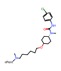 CCCCCN(C)CCCCCCO[C@H]1CC[C@H](N(C)C(=O)Nc2ccc(Cl)cc2)CC1